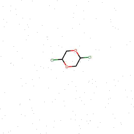 ClC1COC(Cl)CO1